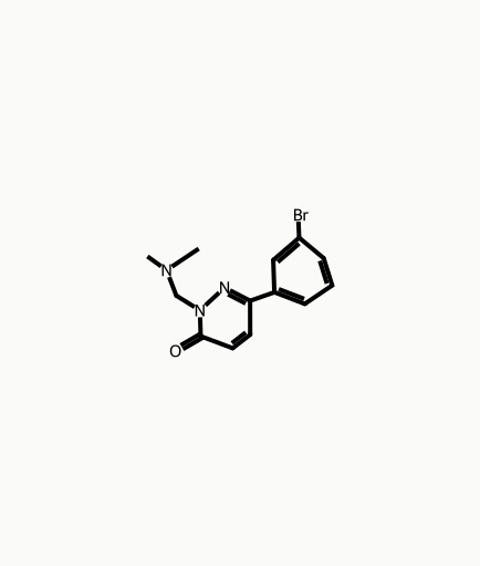 CN(C)Cn1nc(-c2cccc(Br)c2)ccc1=O